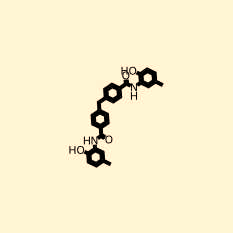 Cc1ccc(O)c(NC(=O)c2ccc(Cc3ccc(C(=O)Nc4cc(C)ccc4O)cc3)cc2)c1